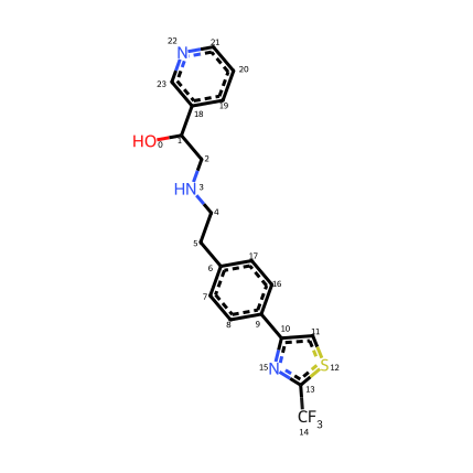 OC(CNCCc1ccc(-c2csc(C(F)(F)F)n2)cc1)c1cccnc1